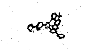 CC1(C)c2cccc(-c3cc(-c4ccc(-c5ccccn5)cc4)nc(-c4ccc(-c5ccccc5)cc4)n3)c2-c2c1ccc1ccccc21